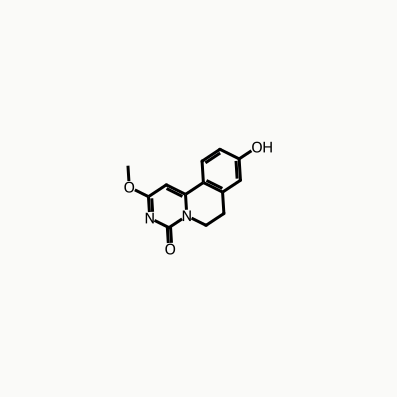 COc1cc2n(c(=O)n1)CCc1cc(O)ccc1-2